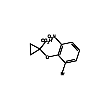 O=C(O)C1(Oc2c(Br)cccc2[N+](=O)[O-])CC1